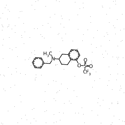 CN(Cc1ccccc1)C1CCc2c(cccc2OS(=O)(=O)C(F)(F)F)C1